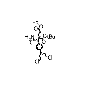 CC(C)(C)OC(=O)CC[C@@H](C(=O)OC(C)(C)C)N(C(N)=O)c1ccc(N(CCCl)CCCl)cc1